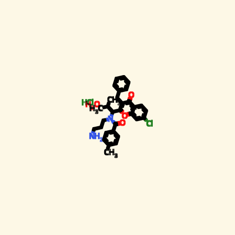 Cc1ccc(C(=O)N(CCCN)C(c2oc3cc(Cl)ccc3c(=O)c2Cc2ccccc2)C(C)C)cc1.Cl.O